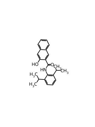 CC(C)c1cccc(C(C)C)c1NC(=O)c1cc2ccccc2cc1O